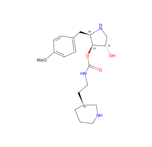 COc1ccc(C[C@H]2NC[C@H](O)[C@H]2OC(=O)NCC[C@@H]2CCCNC2)cc1